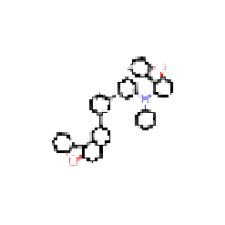 c1ccc(N(c2cccc(-c3cccc(-c4ccc5ccc6oc7ccccc7c6c5c4)c3)c2)c2cccc3oc4ccccc4c23)cc1